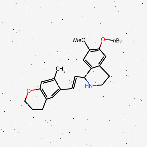 CCCCOc1cc2c(cc1OC)C(/C=C/c1cc3c(cc1C)OCCC3)NCC2